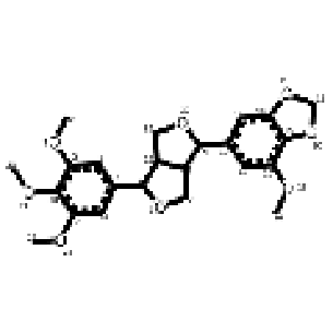 COc1cc(C2OCC3C(c4cc(OC)c5c(c4)OCO5)OCC23)cc(OC)c1OC